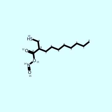 CCCCCCCCC(CS)C(=O)ON=O